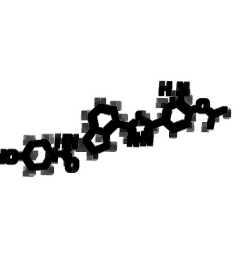 CC(C)Oc1ccc(-c2nnc(-c3cccc4c3CC[C@@H]4NC(=O)N3CCC(O)CC3)s2)cc1N